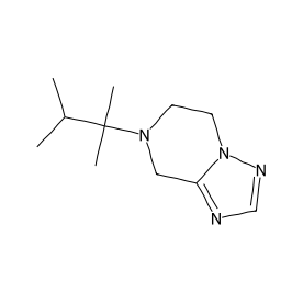 CC(C)C(C)(C)N1CCn2ncnc2C1